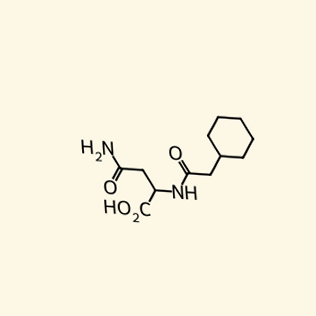 NC(=O)CC(NC(=O)CC1CCCCC1)C(=O)O